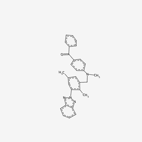 Cc1cc(CN(C)c2ccc(C(=O)c3ccccc3)cc2)c(C)c(-n2nc3ccccc3n2)c1